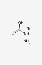 NNC(=O)O.[Ni]